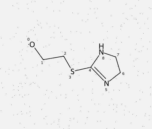 [O]CCSC1=NCCN1